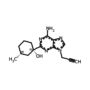 C#CCn1cnc2c(N)nc([C@]3(O)CCC[C@@H](C)C3)nc21